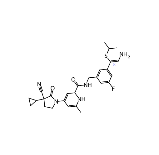 CC1=CC(N2CCC(C#N)(C3CC3)C2=O)=CC(C(=O)NCc2cc(F)cc(/C(=C/N)SC(C)C)c2)N1